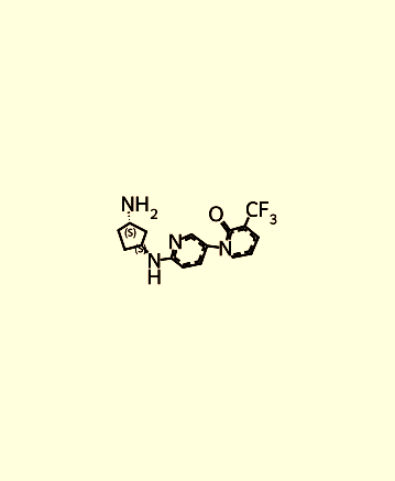 N[C@H]1CC[C@H](Nc2ccc(-n3cccc(C(F)(F)F)c3=O)cn2)C1